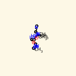 CC1CCCCN1c1nnc2ccc(O[C@@H]3CC[C@H](NC(=O)Nc4cc(C(C)(C)C)nn4-c4cccc(CCN5CCCCC5)c4)c4ccccc43)cn12